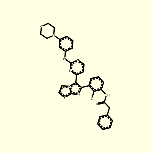 O=C(Cc1ccccc1)Nc1cccc(-c2nc3sccn3c2-c2ccnc(Nc3cccc(N4CCOCC4)c3)n2)c1Cl